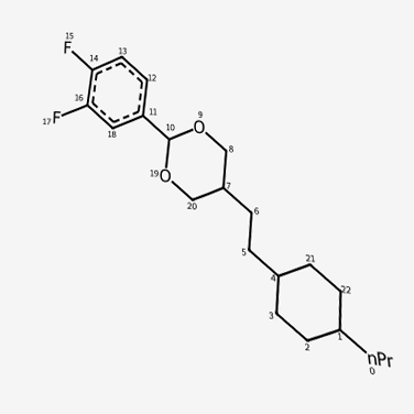 CCCC1CCC(CCC2COC(c3ccc(F)c(F)c3)OC2)CC1